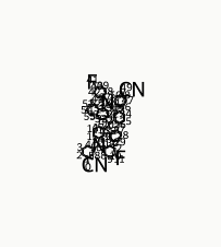 N#Cc1cccc(N(c2ccc(F)cc2)c2ccc3c(c2)C2(c4ccccc4-c4ccccc42)c2cc(N(c4ccc(F)cc4)c4cccc(C#N)c4)c4ccccc4c2-3)c1